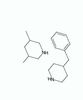 CC1CNCC(C)C1.c1ccc(CC2CCNCC2)cc1